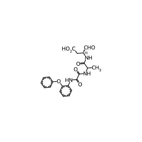 CC(NC(=O)C(=O)Nc1ccccc1Oc1ccccc1)C(=O)N[C@H](C=O)CC(=O)O